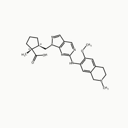 COc1cc2c(cc1Nc1ncc3cnn(C[C@@H]4CCC[C@@]4(C)C(=O)O)c3n1)CN(C)CC2